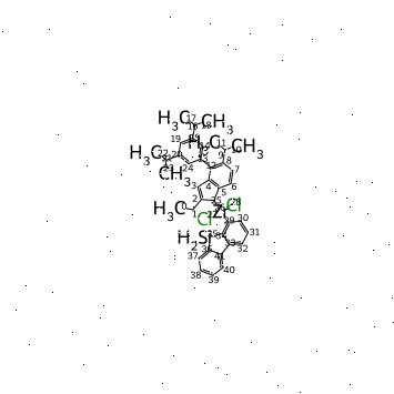 CCC1=Cc2c(ccc(C(C)C)c2-c2cc(C(C)C)cc(C(C)C)c2)[CH]1[Zr]([Cl])([Cl])[c]1cccc2c1[SiH2]c1ccccc1-2